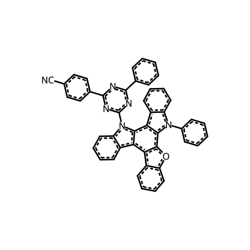 N#Cc1ccc(-c2nc(-c3ccccc3)nc(-n3c4ccccc4c4c5c6ccccc6oc5c5c(c6ccccc6n5-c5ccccc5)c43)n2)cc1